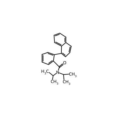 CC(C)N(C(=O)c1ccccc1-c1cccc2ccccc12)C(C)C